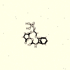 O=C(NC1c2cccc(c2)C1OCCOP(=O)(O)O)ON1C(=O)CCC1=O